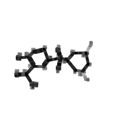 C[C@@H]1C[C@H](C)CN(S(=O)(=O)c2ccc(Cl)c(C(=O)O)c2)C1